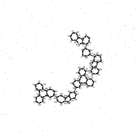 c1cc(-c2cccc3c2sc2ccccc23)cc(-c2cccc3c2sc2c(-c4cccc5c6ccc(-c7ccc8sc9ccc(-c%10ccc%11c%12ccccc%12c%12ccccc%12c%11c%10)cc9c8c7)cc6c6ccccc6c45)cccc23)c1